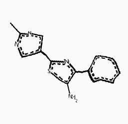 Cc1ncc(-c2nc(-c3ccccc3)c(N)s2)cn1